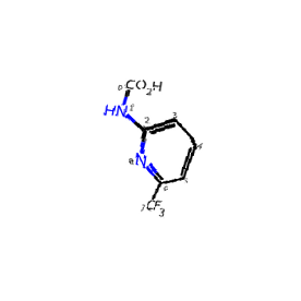 O=C(O)Nc1cccc(C(F)(F)F)n1